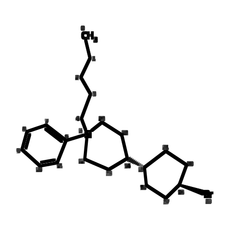 CCCCC[Si]1(c2ccccc2)CCC([C@H]2CC[C@H](Br)CC2)CC1